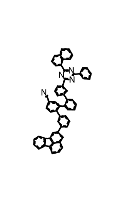 N#Cc1ccc(-c2cccc(-c3cc4c5c(cccc5c3)-c3ccccc3-4)c2)c(-c2ccccc2-c2cccc(-c3nc(-c4ccccc4)nc(-c4cccc5ccccc45)n3)c2)c1